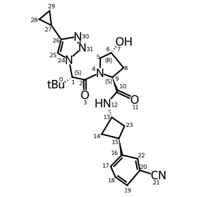 CC(C)(C)[C@@H](C(=O)N1C[C@H](O)C[C@H]1C(=O)N[C@H]1C[C@H](c2cccc(C#N)c2)C1)n1cc(C2CC2)nn1